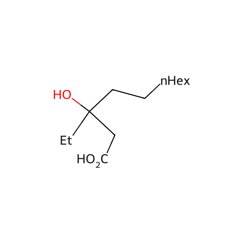 CCCCCCCCC(O)(CC)CC(=O)O